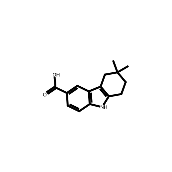 CC1(C)CCc2[nH]c3ccc(C(=O)O)cc3c2C1